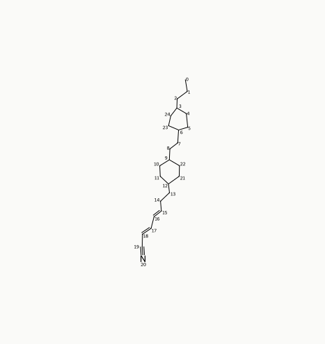 CCCC1CCC(CCC2CCC(CCC=CC=CC#N)CC2)CC1